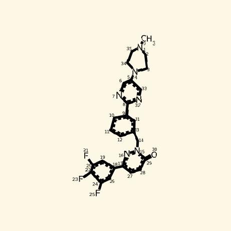 CN1CCN(c2cnc(-c3cccc(Cn4nc(-c5cc(F)c(F)c(F)c5)ccc4=O)c3)nc2)CC1